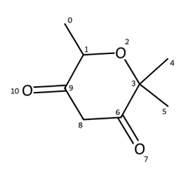 CC1OC(C)(C)C(=O)CC1=O